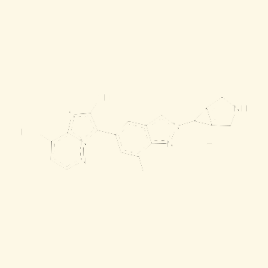 Cc1nc2c(C)ccnn2c1-c1cc(F)c2nn(C3[C@H]4CNC[C@@H]34)cc2c1